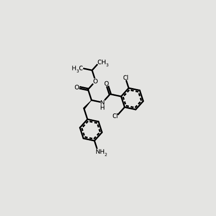 CC(C)OC(=O)[C@H](Cc1ccc(N)cc1)NC(=O)c1c(Cl)cccc1Cl